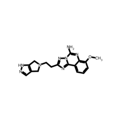 COc1cccc2c1nc(N)n1nc(CCN3Cc4cn[nH]c4C3)nc21